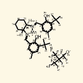 Cc1cc(C=[N+]2[Mn][N+](=Cc3cc(C)cc(C(C)(C)C)c3O)[C@@H]3CCCC[C@H]32)c(O)c(C(C)(C)C)c1.[O-]C(F)(F)C(F)(C(F)(F)F)C(F)(F)F